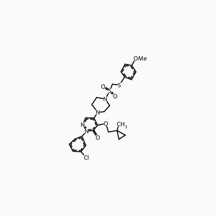 COc1ccc(SCS(=O)(=O)N2CCN(c3cnn(-c4cccc(Cl)c4)c(=O)c3OCC3(C)CC3)CC2)cc1